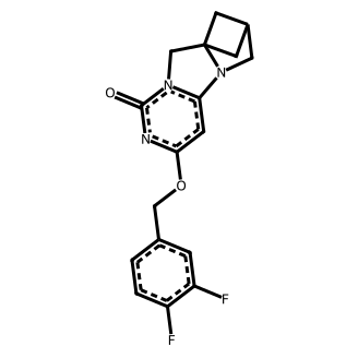 O=c1nc(OCc2ccc(F)c(F)c2)cc2n1CC13CC(CN21)C3